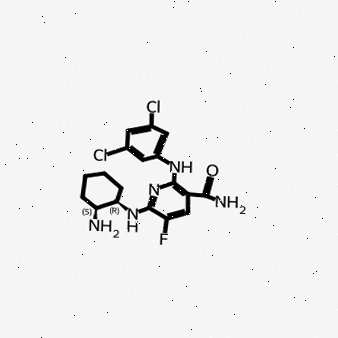 NC(=O)c1cc(F)c(N[C@@H]2CCCC[C@@H]2N)nc1Nc1cc(Cl)cc(Cl)c1